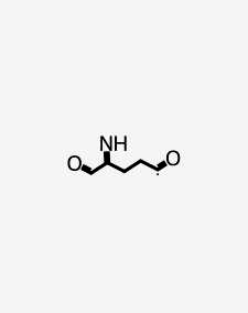 N=C(C=O)CC[C]=O